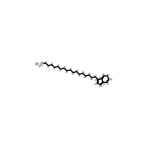 CCCCCCCCCCCCCCCCCCC1=CC=C2C=CCC=C21